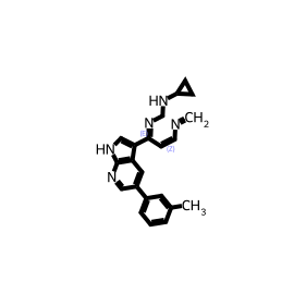 C=N/C=C\C(=N/CNC1CC1)c1c[nH]c2ncc(-c3cccc(C)c3)cc12